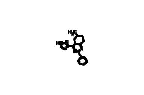 CC1CCc2nc(-c3ccccc3)nc(-c3cc[nH]n3)c2C1